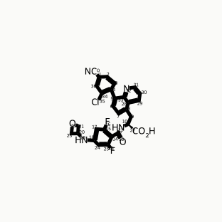 N#Cc1ccc(-c2ccc(C[C@H](NC(=O)c3c(F)cc(NC4COC4)cc3F)C(=O)O)c3cccnc23)c(Cl)c1